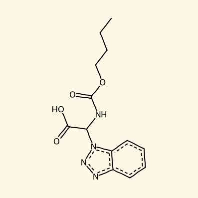 CCCCOC(=O)NC(C(=O)O)n1nnc2ccccc21